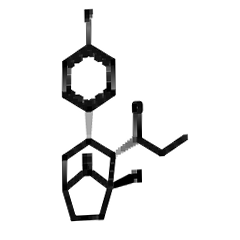 CCC(=O)[C@@H]1[C@@H]2CCC(C[C@@H]1c1ccc(F)cc1)N2